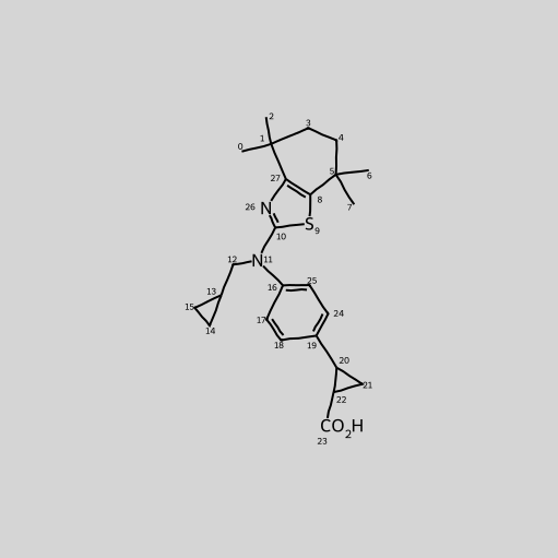 CC1(C)CCC(C)(C)c2sc(N(CC3CC3)c3ccc(C4CC4C(=O)O)cc3)nc21